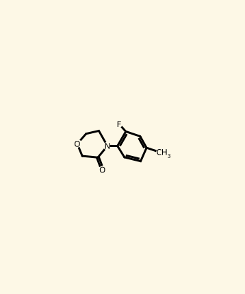 Cc1ccc(N2CCOCC2=O)c(F)c1